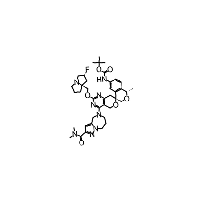 C[C@@H]1OC[C@@]2(Cc3nc(OC[C@@]45CCCN4C[C@H](F)C5)nc(N4CCCn5nc(C(=O)N(C)C)cc5C4)c3CO2)c2cc(NC(=O)OC(C)(C)C)ccc21